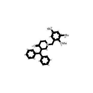 COc1c(CN2CCC(=O)C(C(c3ccccc3)c3ccccc3)C2)cc(C(C)(C)C)cc1C(C)(C)C